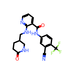 N#Cc1cc(NC(=O)c2cccnc2NCC2CCC(=O)NC2)ccc1C(F)(F)F